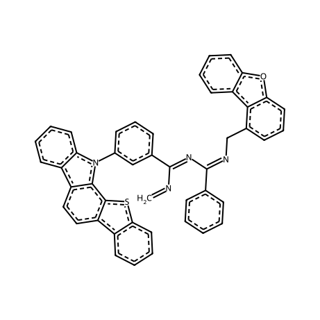 C=N/C(=N\C(=N/Cc1cccc2oc3ccccc3c12)c1ccccc1)c1cccc(-n2c3ccccc3c3ccc4c5ccccc5sc4c32)c1